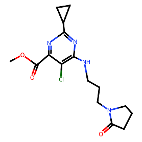 COC(=O)c1nc(C2CC2)nc(NCCCN2CCCC2=O)c1Cl